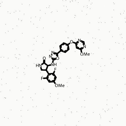 COc1cc(F)c(C2CNC(=O)C2Nc2nnc(-c3ccc(Oc4cc(OC)ncn4)cc3)o2)c(F)c1